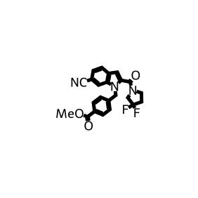 COC(=O)c1ccc(Cn2c(C(=O)N3CCC(F)(F)C3)cc3ccc(C#N)cc32)cc1